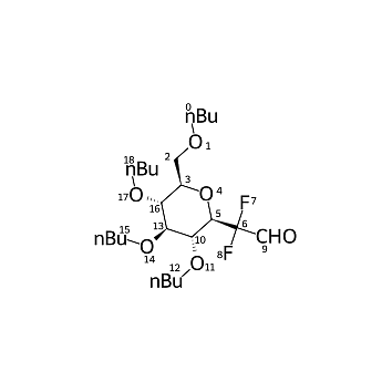 CCCCOC[C@H]1O[C@@H](C(F)(F)C=O)[C@H](OCCCC)[C@@H](OCCCC)[C@@H]1OCCCC